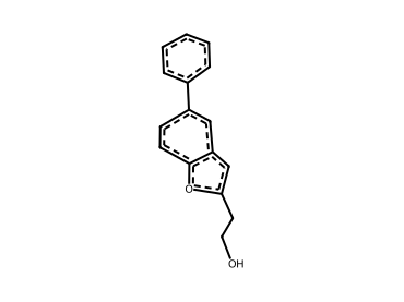 OCCc1cc2cc(-c3ccccc3)ccc2o1